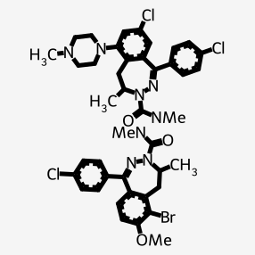 CNC(=O)N1N=C(c2ccc(Cl)cc2)c2cc(Cl)cc(N3CCN(C)CC3)c2CC1C.CNC(=O)N1N=C(c2ccc(Cl)cc2)c2ccc(OC)c(Br)c2CC1C